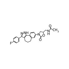 CC(=O)NCC1CN(c2ccc3c(c2)CCCc2c(-c4ccc(F)cc4)n[nH]c2-3)C(=O)O1